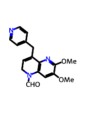 COc1cc2c(nc1OC)C(Cc1ccncc1)=CCN2C=O